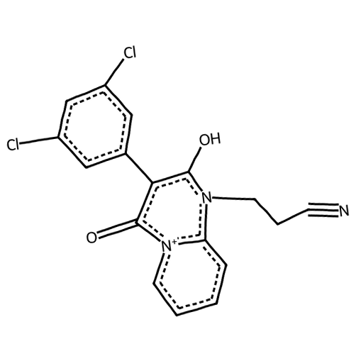 N#CCCn1c(O)c(-c2cc(Cl)cc(Cl)c2)c(=O)[n+]2ccccc12